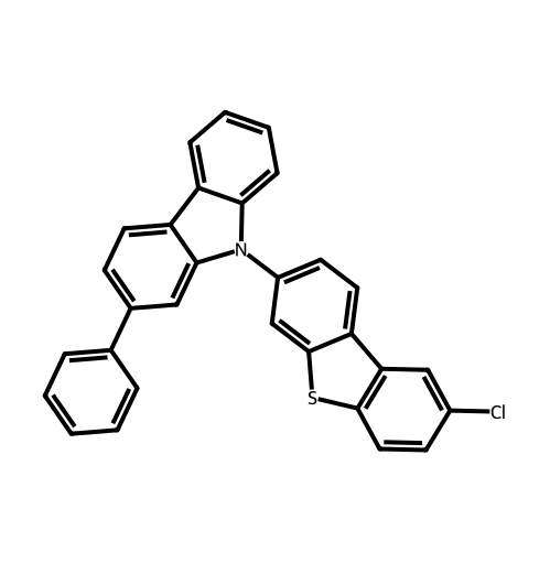 Clc1ccc2sc3cc(-n4c5ccccc5c5ccc(-c6ccccc6)cc54)ccc3c2c1